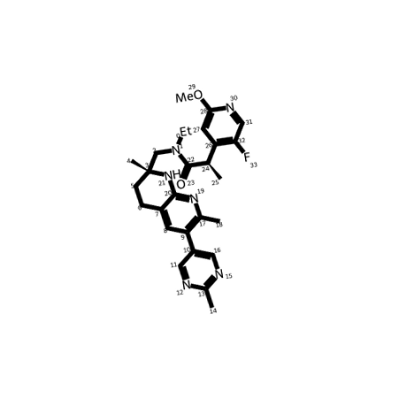 CCN(C[C@@]1(C)CCc2cc(-c3cnc(C)nc3)c(C)nc2N1)C(=O)[C@H](C)c1cc(OC)ncc1F